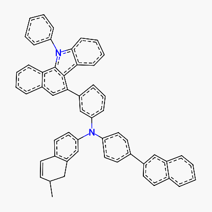 CC1C=Cc2ccc(N(c3ccc(-c4ccc5ccccc5c4)cc3)c3cccc(-c4cc5ccccc5c5c4c4ccccc4n5-c4ccccc4)c3)cc2C1